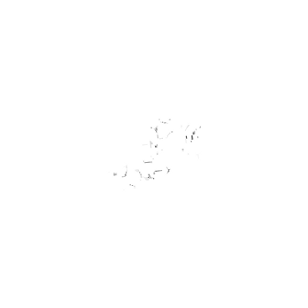 CC(C)Cn1nccc1-c1ccnc(NC(C)c2cc3cc(Cl)ccc3[nH]c2=O)c1